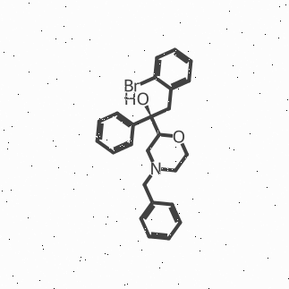 O[C@](Cc1ccccc1Br)(c1ccccc1)C1CN(Cc2ccccc2)CCO1